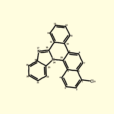 Clc1cccc2c1ccc1c3ccccc3c3nc4ccccc4n3c21